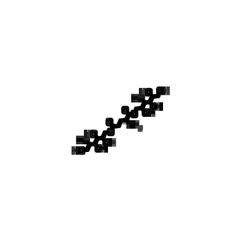 N[C@@H](CCC(=O)OCC(O)C(O)C(O)C(O)CO)C(=O)OCC(O)C(O)C(O)C(O)CO